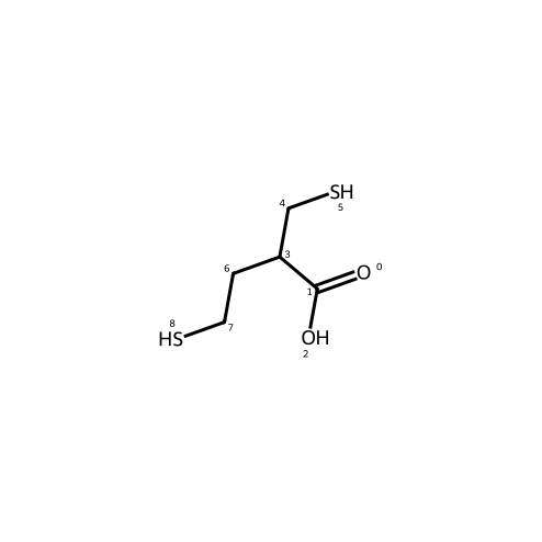 O=C(O)C(CS)CCS